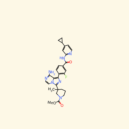 COC(=O)N1CCCC(C)(c2nc(-c3ccc(C(=O)Nc4cc(C5CC5)ccn4)cc3F)c3c(N)nccn23)C1